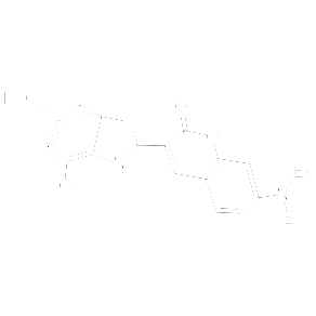 CCN(CC)c1ccc2cc(-c3nc4c(C)cc(C)cc4s3)c(=O)oc2c1